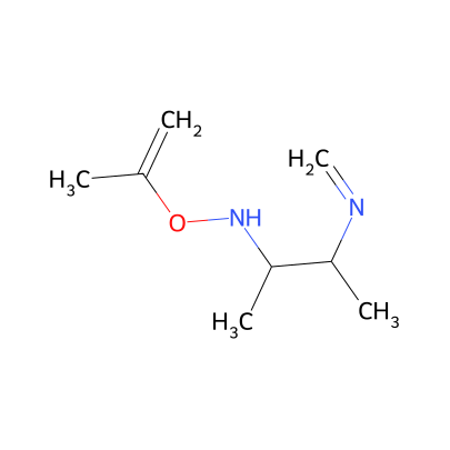 C=NC(C)C(C)NOC(=C)C